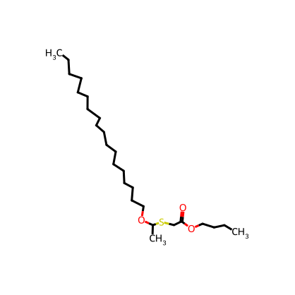 CCCCCCCCCCCCCCCCCCOC(C)SCC(=O)OCCCC